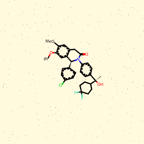 COc1cc2c(cc1OC(C)C)[C@H](c1ccc(Cl)cc1)N(c1ccc([C@@](C)(O)C3CCC(F)(F)CC3)cc1)C(=O)C2